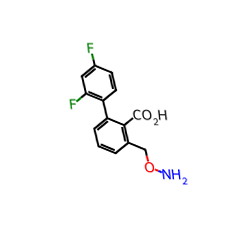 NOCc1cccc(-c2ccc(F)cc2F)c1C(=O)O